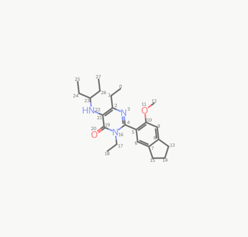 CCc1nc(-c2cc3c(cc2OC)CCC3)n(CC)c(=O)c1NC(CC)CC